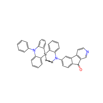 O=C1c2cnccc2-c2cc(N3c4ccccc4[Si]4(c5ccccc5N(c5ccccc5)c5ccccc54)c4ccccc43)ccc21